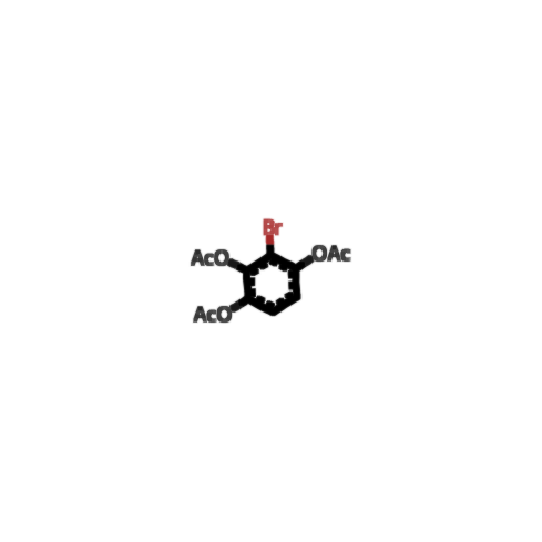 CC(=O)Oc1ccc(OC(C)=O)c(OC(C)=O)c1Br